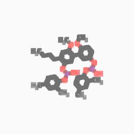 CCCCc1cc(OC)c(-c2cc(OP(O)OC3=C=C=C(C)C=C3C)ccc2OC)cc1OP(O)Oc1ccc(C)cc1C